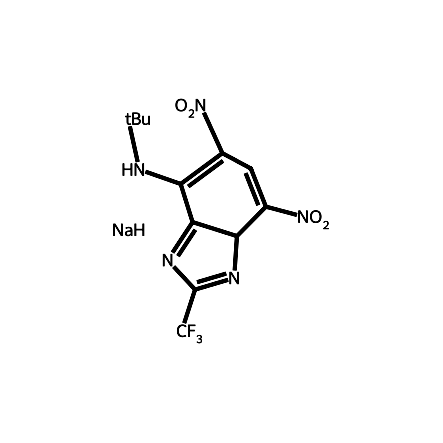 CC(C)(C)NC1=C([N+](=O)[O-])C=C([N+](=O)[O-])C2N=C(C(F)(F)F)N=C12.[NaH]